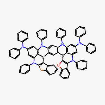 c1ccc(N(c2ccccc2)c2cc3c4c(c2)N(c2ccccc2)c2sc5ccccc5c2B4c2cc4c(cc2N3c2ccccc2)N(c2ccccc2)c2cc(N(c3ccccc3)c3ccccc3)cc3c2B4c2oc4ccccc4c2N3c2ccccc2)cc1